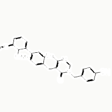 CCCCc1ncn(Cc2ccc(O)cc2)c(=O)c1Cc1ccc(C2=CC=CC(=C=O)C2OC)cc1